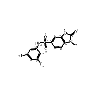 Cn1c(=O)oc2cc(S(=O)(=O)Nc3cc(F)cc(F)c3)ccc21